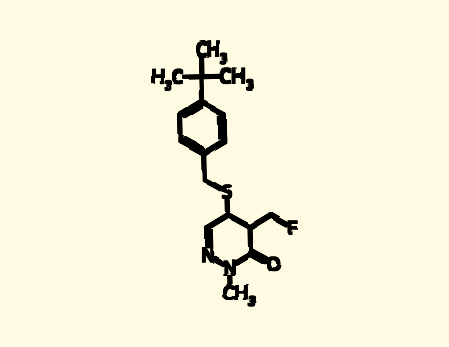 CN1N=CC(SCc2ccc(C(C)(C)C)cc2)C(CF)C1=O